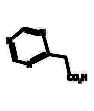 O=C(O)Cc1ncncn1